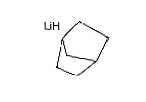 C1CC2CCC1C2.[LiH]